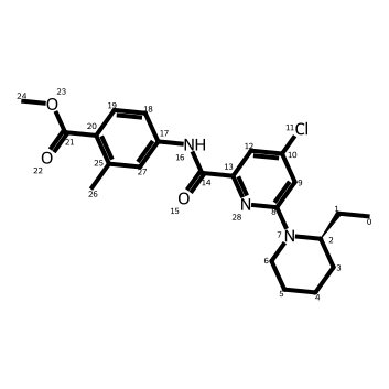 CC[C@H]1CCCCN1c1cc(Cl)cc(C(=O)Nc2ccc(C(=O)OC)c(C)c2)n1